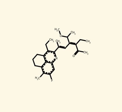 CC/C(C(C)=O)=C(/C=C(\C)c1nc2cc(F)c(C)c3c2c(c1CC)CCC3)C(C)OC